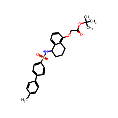 Cc1ccc(-c2ccc(S(=O)(=O)NC3CCCc4c(OCC(=O)OC(C)(C)C)cccc43)cc2)cc1